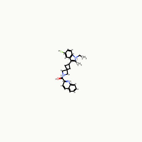 CCn1c(C)c(C2CC3(C2)CN(C(=O)c2ccc4ccccc4n2)C3)c2cc(F)ccc21